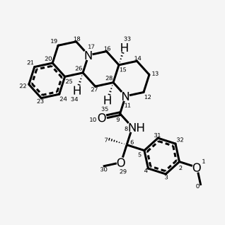 COc1ccc([C@](C)(NC(=O)N2CCC[C@@H]3CN4CCc5ccccc5[C@@H]4C[C@@H]32)OC)cc1